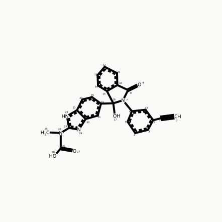 C#Cc1cccc(N2C(=O)c3ccccc3C2(O)c2ccc3[nH]c(N(C)C(=O)O)nc3c2)c1